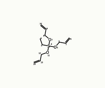 C=CCO[Si](CC)(OCC=C)OCC=C